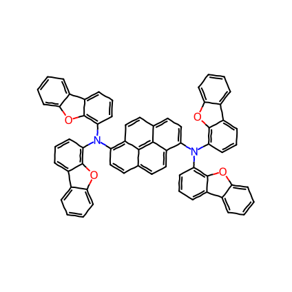 c1ccc2c(c1)oc1c(N(c3ccc4ccc5c(N(c6cccc7c6oc6ccccc67)c6cccc7c6oc6ccccc67)ccc6ccc3c4c65)c3cccc4c3oc3ccccc34)cccc12